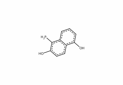 Oc1ccc2c(O)cccc2c1P